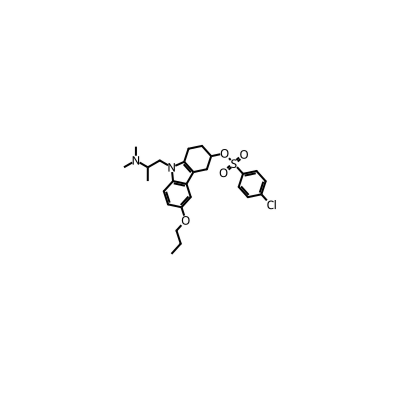 CCCOc1ccc2c(c1)c1c(n2CC(C)N(C)C)CCC(OS(=O)(=O)c2ccc(Cl)cc2)C1